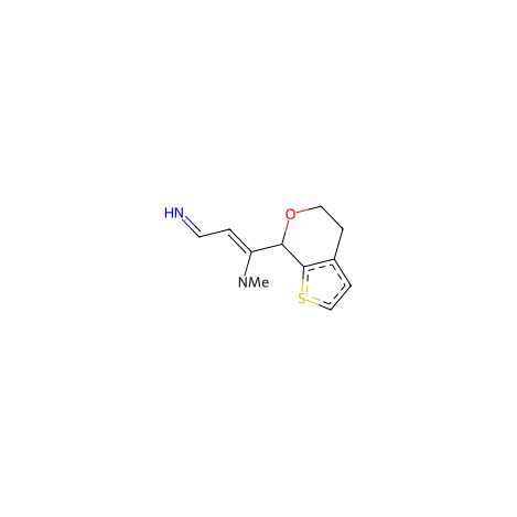 CN/C(=C\C=N)C1OCCc2ccsc21